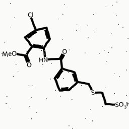 COC(=O)c1cc(Cl)ccc1NC(=O)c1cccc(CSCCS(=O)(=O)O)c1